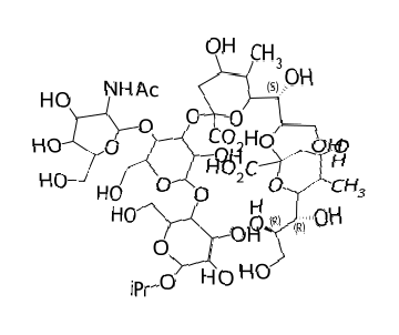 CC(=O)NC1C(OC2C(CO)OC(OC3C(CO)OC(OC(C)C)C(O)C3O)C(O)C2OC2(C(=O)O)CC(O)C(C)C([C@H](O)C(CO)OC3(C(=O)O)CC(O)C(C)C([C@H](O)[C@H](O)CO)O3)O2)OC(CO)C(O)C1O